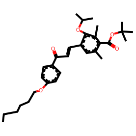 CCCCCCOc1ccc(C(=O)/C=C/c2cc(C)c(C(=O)OC(C)(C)C)c(C)c2OC(C)C)cc1